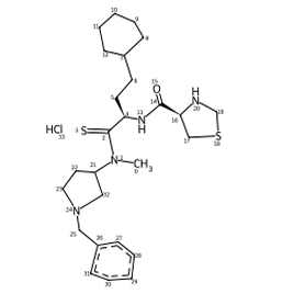 CN(C(=S)[C@@H](CCC1CCCCC1)NC(=O)[C@@H]1CSCN1)C1CCN(Cc2ccccc2)C1.Cl